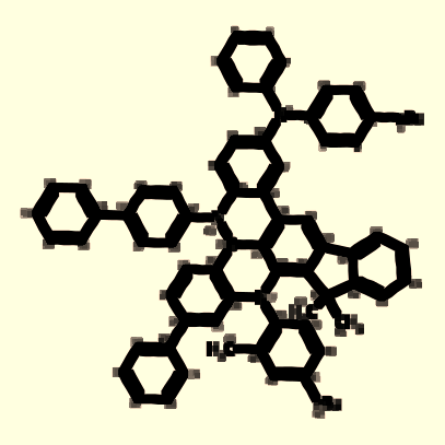 CCCCc1ccc(N(c2ccccc2)c2ccc3c(c2)-c2cc4c(c5c2B(c2ccc(-c6ccccc6)cc2N5c2ccc(CCCC)cc2C)N3c2ccc(-c3ccccc3)cc2)C(C)(C)c2ccccc2-4)cc1